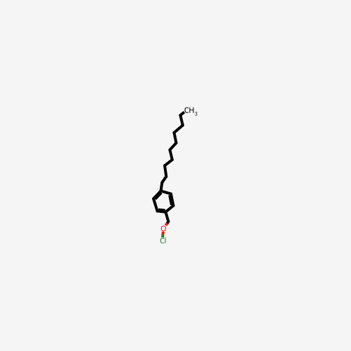 CCCCCCCCCCc1ccc(COCl)cc1